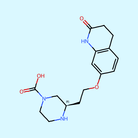 O=C1CCc2ccc(OCC[C@@H]3CN(C(=O)O)CCN3)cc2N1